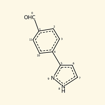 O=Cc1ccc(-c2cc[nH]n2)cc1